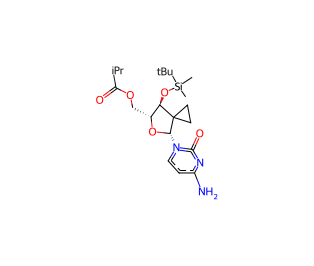 CC(C)C(=O)OC[C@H]1O[C@@H](n2ccc(N)nc2=O)C2(CC2)[C@@H]1O[Si](C)(C)C(C)(C)C